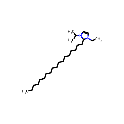 CCCCCCCCCCCCCCCCCCC1N(CC)C=CN1C(C)C